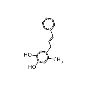 Cc1cc(O)c(O)cc1CC=Cc1ccccc1